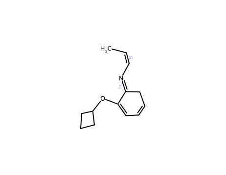 C/C=C\N=C1/CC=CC=C1OC1CCC1